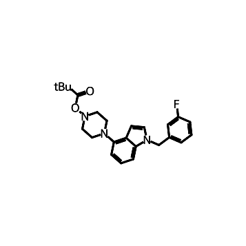 CC(C)(C)C(=O)ON1CCN(c2cccc3c2ccn3Cc2cccc(F)c2)CC1